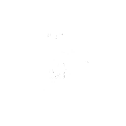 CCN(CC)CCOC(=O)C1=C(COC(C)=O)CS[C@H]2N1C(=O)[C@]2(NC(=O)Cc1cccs1)OC